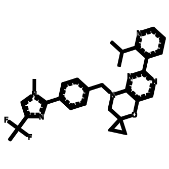 CC(C)c1ncccc1-c1ncc2c(n1)N(Cc1ccc(-c3nc(C(C)(F)F)cn3C)cc1)CC1(CC1)O2